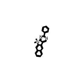 C[Si]1(C)c2cc3ccccc3cc2-c2cnc(-c3ccccc3)nc21